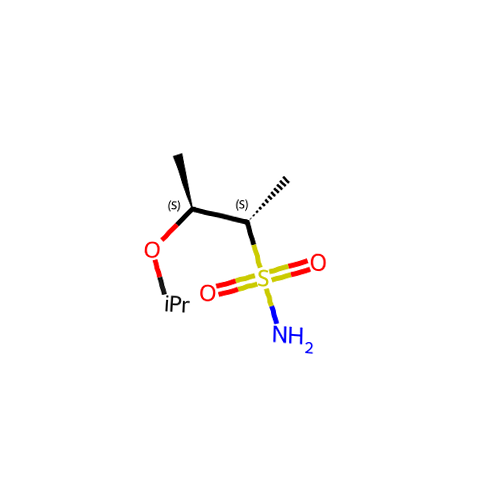 CC(C)O[C@@H](C)[C@H](C)S(N)(=O)=O